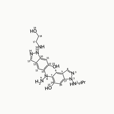 CC(C)Nn1ncc2cc(N(N)c3cc4cnn(NCCO)c4cc3O)c(O)cc21